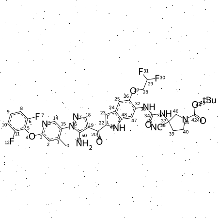 Cc1cc(Oc2c(F)cccc2F)ncc1-n1ncc(C(=O)c2cc3cc(OCC(F)F)c(NC(=O)NC4(C#N)CCN(C(=O)OC(C)(C)C)C4)cc3[nH]2)c1N